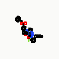 COc1ccc(C(=O)OCc2ccccc2)cc1N(C(=O)n1nnn(-c2c(F)cccc2OC)c1=O)C(C)C